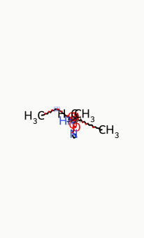 CCCCCCCC/C=C\CCCCCCCC(=O)N[C@@H](COC(=O)CCCN1CCCC1)[C@@H]1OC(C)(C)C[C@@H]1CCCCCCCCCCCCCC